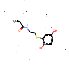 C=CC(=O)NCCSc1cc(O)ccc1O